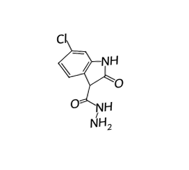 NNC(=O)C1C(=O)Nc2cc(Cl)ccc21